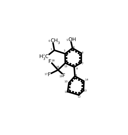 CC(C)c1c(O)ccc(-c2ccccc2)c1C(F)(F)F